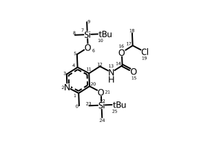 Cc1ncc(CO[Si](C)(C)C(C)(C)C)c(CNC(=O)OC(C)Cl)c1O[Si](C)(C)C(C)(C)C